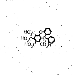 O=C(O)c1c2c(c(C(=O)O)c(C(=O)O)c1C(=O)O)P(=O)(c1ccccc1)c1ccccc1O2